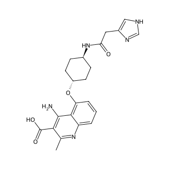 Cc1nc2cccc(O[C@H]3CC[C@H](NC(=O)Cc4c[nH]cn4)CC3)c2c(N)c1C(=O)O